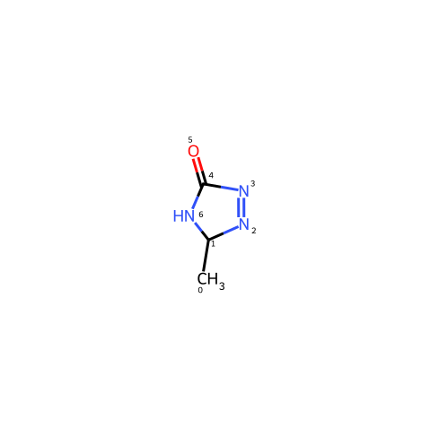 CC1N=NC(=O)N1